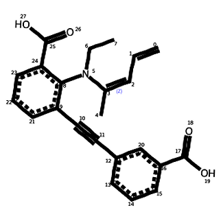 C=C/C=C(/C)N(CC)c1c(C#Cc2cccc(C(=O)O)c2)cccc1C(=O)O